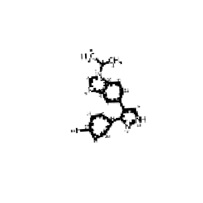 CC(C)n1cnc2cc(-c3c[nH]nc3-c3ccc(F)cc3)ccc21